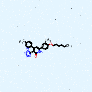 CCCCCCOc1ccc(-c2cc(-c3ccc(C)cc3)c(-c3nnn[nH]3)c(=O)[nH]2)cc1C